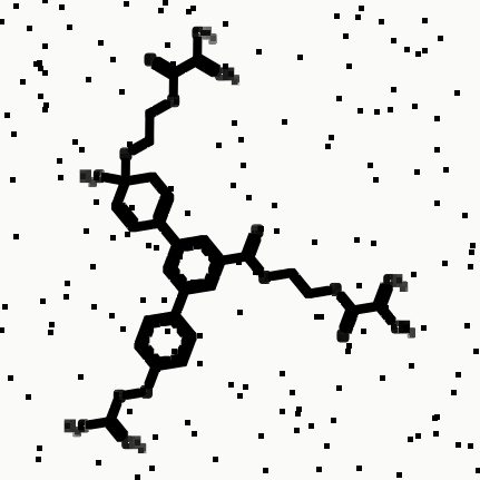 C=C(C)OOc1ccc(-c2cc(C(=O)OCCOC(=O)C(=C)C)cc(C3=CCC(C)(OCCOC(=O)C(=C)C)C=C3)c2)cc1